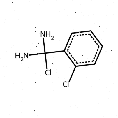 NC(N)(Cl)c1ccccc1Cl